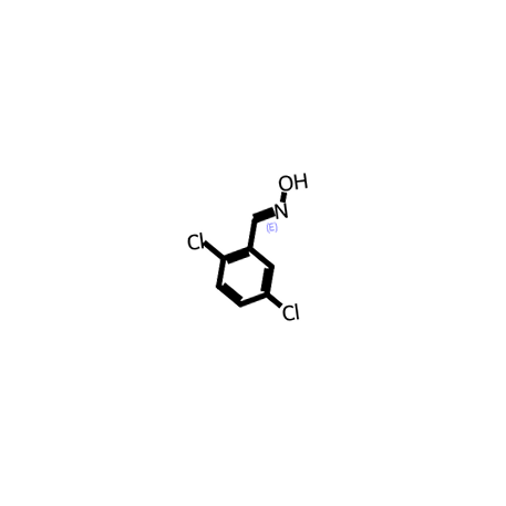 O/N=C/c1cc(Cl)ccc1Cl